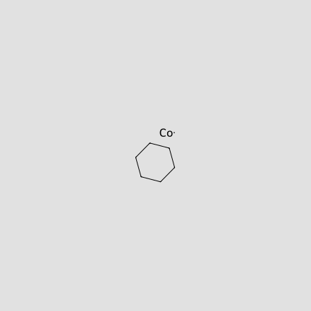 C1CCCCC1.[Co]